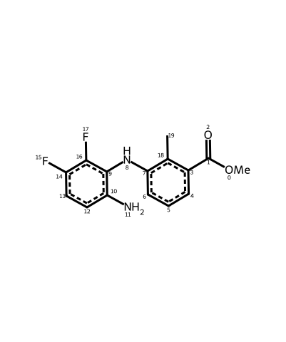 COC(=O)c1cccc(Nc2c(N)ccc(F)c2F)c1C